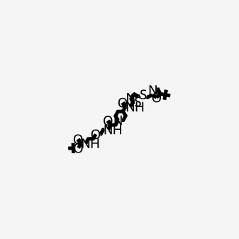 CC(C)(C)OC(=O)NCCOCCNC(=O)CN1CCC(C(=O)Nc2ncc(SCc3ncc(C(C)(C)C)o3)s2)CC1